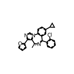 C[C@@H]1N=C(c2ccccc2Cl)c2cc(C3CC3)ccc2-n2cnc(-c3ccco3)c21